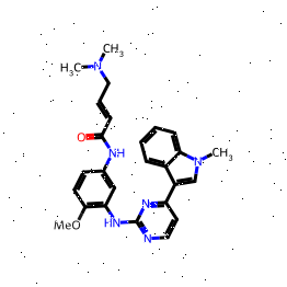 COc1ccc(NC(=O)/C=C/CN(C)C)cc1Nc1nccc(-c2cn(C)c3ccccc23)n1